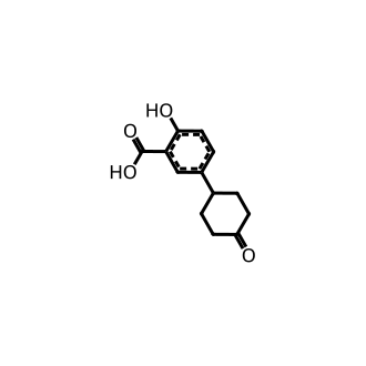 O=C1CCC(c2ccc(O)c(C(=O)O)c2)CC1